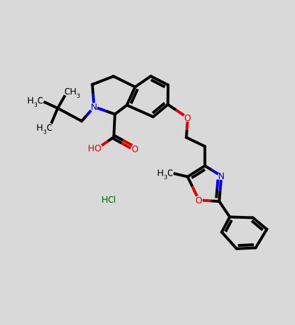 Cc1oc(-c2ccccc2)nc1CCOc1ccc2c(c1)C(C(=O)O)N(CC(C)(C)C)CC2.Cl